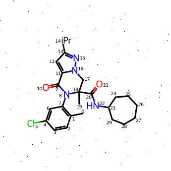 Cc1ccc(Cl)cc1N1C(=O)c2cc(C(C)C)nn2CC1(C)C(=O)NC1CCCCCC1